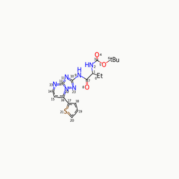 CCC(NC(=O)OC(C)(C)C)C(=O)Nc1nc2nccc(-c3cccs3)n2n1